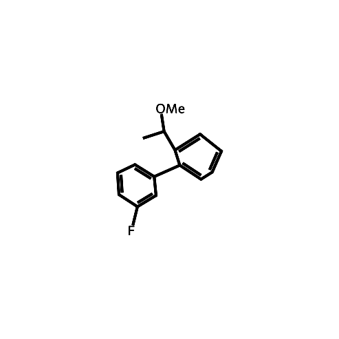 COC(C)c1ccccc1-c1cccc(F)c1